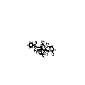 CC1(C)NC2C(CN3C(=O)CCC3=O)NC(=N)N3CC(NC(=O)c4ccccc4)C(O)(O)C23N1